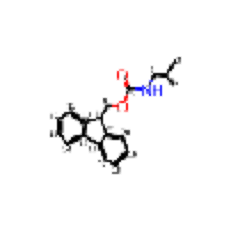 CC(C)CNC(=O)OCC1c2ccccc2-c2ccccc21